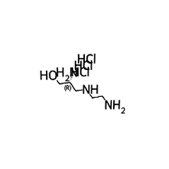 Cl.Cl.Cl.NCCNC[C@@H](N)CO